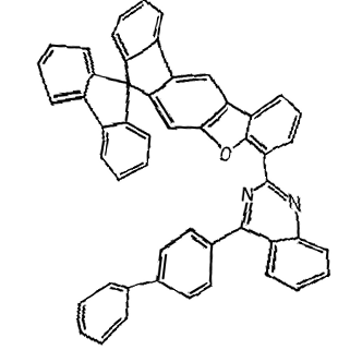 c1ccc(-c2ccc(-c3nc(-c4cccc5c4oc4cc6c(cc45)-c4ccccc4C64c5ccccc5-c5ccccc54)nc4ccccc34)cc2)cc1